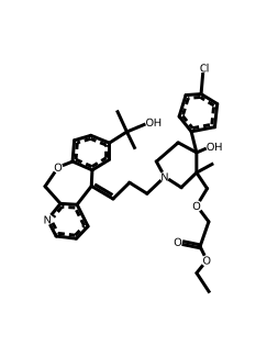 CCOC(=O)COCC1(C)CN(CC/C=C2\c3cc(C(C)(C)O)ccc3OCc3ncccc32)CCC1(O)c1ccc(Cl)cc1